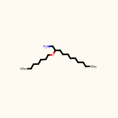 CCCCCCCCCCCCCCCCCCC(CN)OCCCCCCCCCCCCCCCC